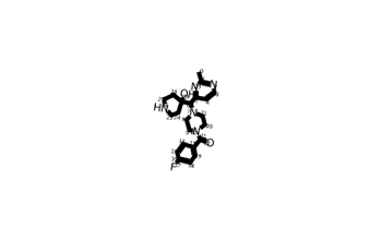 Cc1nccc(C(N2CCN(C(=O)c3ccc(F)cc3)CC2)C2(O)CCNCC2)n1